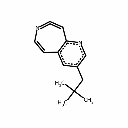 CC(C)(C)Cc1cnc2c(c1)C=CN=C=C2